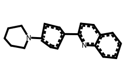 c1ccc2nc(-c3ccc(N4CCCCC4)cc3)ccc2c1